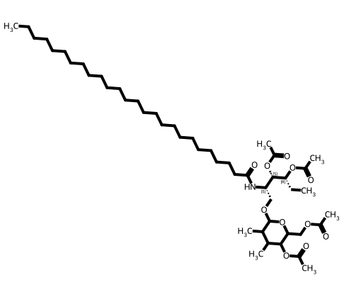 CCCCCCCCCCCCCCCCCCCCCCCCCC(=O)N[C@@H](COC1OC(COC(C)=O)C(OC(C)=O)C(C)C1C)[C@H](OC(C)=O)[C@@H](CC)OC(C)=O